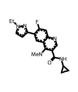 CCn1ccc(-c2cc3c(NC)c(C(=O)NC4CC4)cnc3cc2F)n1